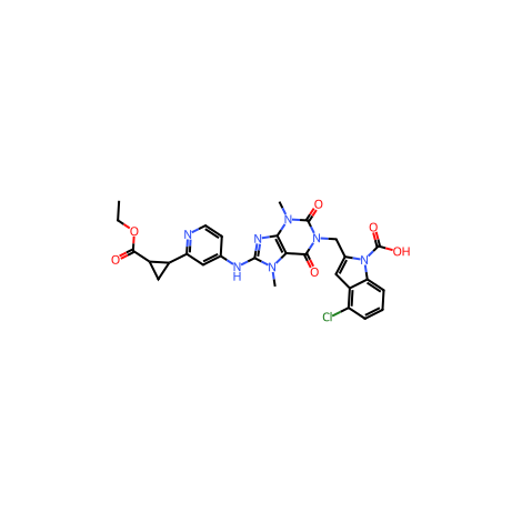 CCOC(=O)C1CC1c1cc(Nc2nc3c(c(=O)n(Cc4cc5c(Cl)cccc5n4C(=O)O)c(=O)n3C)n2C)ccn1